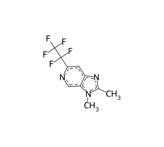 Cc1nc2cc(C(F)(F)C(F)(F)F)ncc2n1C